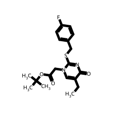 CCc1cn(CC(=O)OC(C)(C)C)c(SCc2ccc(F)cc2)nc1=O